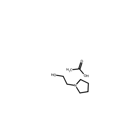 CC(=O)O.OCCN1CCCC1